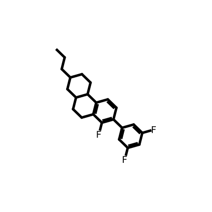 CCCC1CCC2c3ccc(-c4cc(F)cc(F)c4)c(F)c3CCC2C1